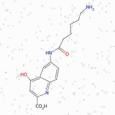 NCCCCCC(=O)Nc1ccc2nc(C(=O)O)cc(O)c2c1